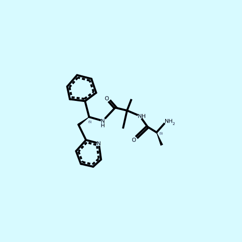 C[C@H](N)C(=O)NC(C)(C)C(=O)N[C@@H](Cc1ccccn1)c1ccccc1